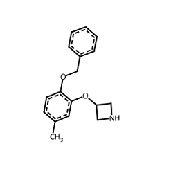 Cc1ccc(OCc2ccccc2)c(OC2CNC2)c1